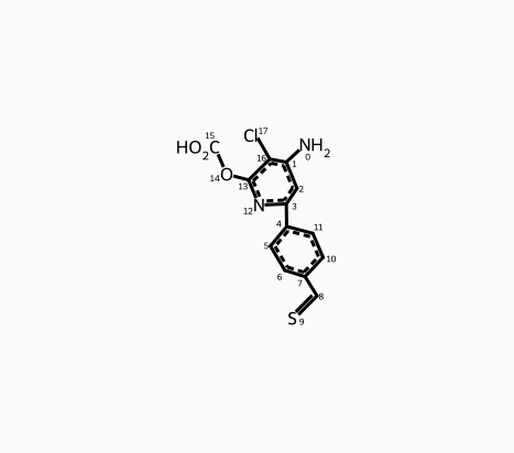 Nc1cc(-c2ccc(C=S)cc2)nc(OC(=O)O)c1Cl